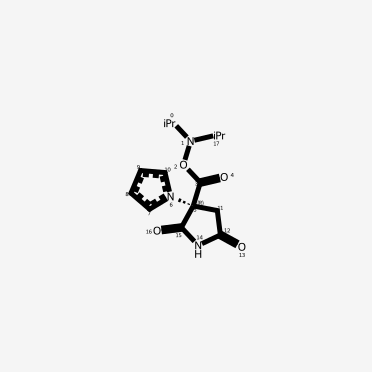 CC(C)N(OC(=O)[C@@]1(n2cccc2)CC(=O)NC1=O)C(C)C